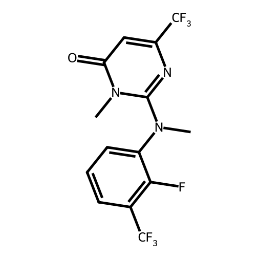 CN(c1cccc(C(F)(F)F)c1F)c1nc(C(F)(F)F)cc(=O)n1C